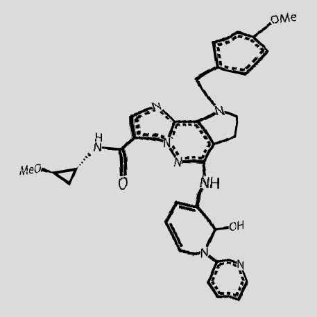 COc1ccc(CN2CCc3c(NC4=CC=CN(c5ccccn5)C4O)nn4c(C(=O)N[C@@H]5C[C@H]5OC)cnc4c32)cc1